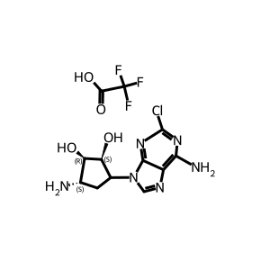 Nc1nc(Cl)nc2c1ncn2C1C[C@H](N)[C@@H](O)[C@H]1O.O=C(O)C(F)(F)F